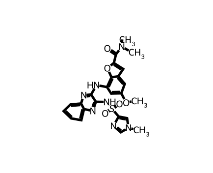 COc1cc(Nc2nc3ccccc3nc2NS(=O)(=O)c2cn(C)cn2)c2oc(C(=O)N(C)C)cc2c1